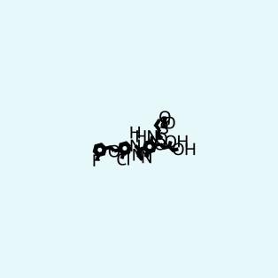 O=C(Nc1cc2c(Nc3ccc(OCc4cccc(F)c4)c(Cl)c3)ncnc2cc1OCC(O)CO)C1CCS(=O)(=O)S1